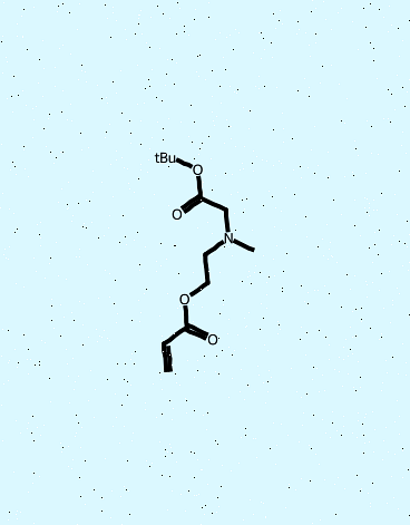 C=CC(=O)OCCN(C)CC(=O)OC(C)(C)C